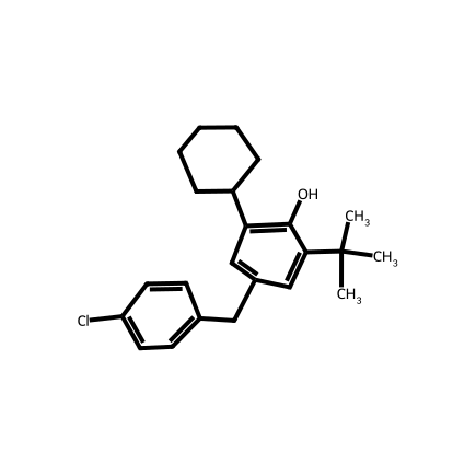 CC(C)(C)c1cc(Cc2ccc(Cl)cc2)cc(C2CCCCC2)c1O